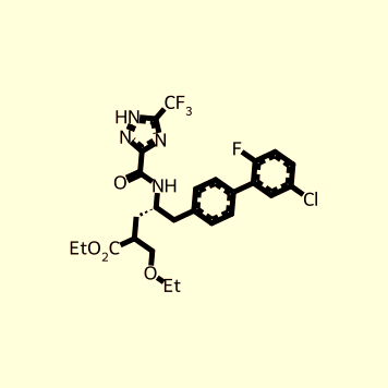 CCOCC(C[C@@H](Cc1ccc(-c2cc(Cl)ccc2F)cc1)NC(=O)c1n[nH]c(C(F)(F)F)n1)C(=O)OCC